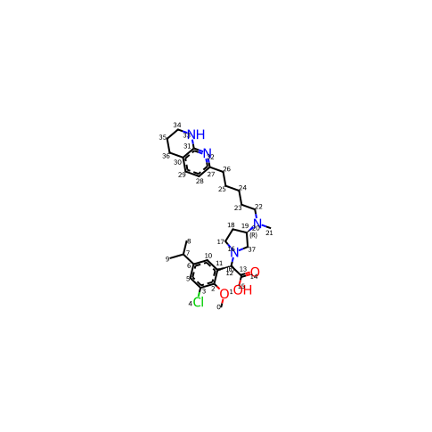 COc1c(Cl)cc(C(C)C)cc1[C@H](C(=O)O)N1CC[C@@H](N(C)CCCCCc2ccc3c(n2)NCCC3)C1